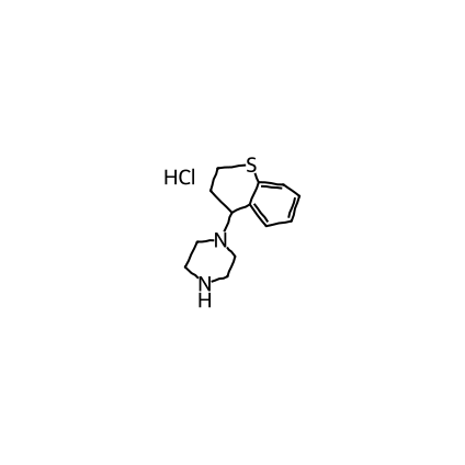 Cl.c1ccc2c(c1)SCCC2N1CCNCC1